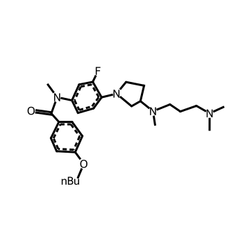 CCCCOc1ccc(C(=O)N(C)c2ccc(N3CCC(N(C)CCCN(C)C)C3)c(F)c2)cc1